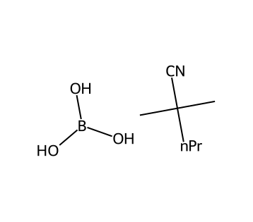 CCCC(C)(C)C#N.OB(O)O